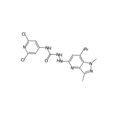 Cc1nn(C)c2c(C(C)C)cc(NNC(=O)Nc3cc(Cl)nc(Cl)c3)nc12